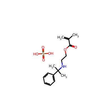 C=C(C)C(=O)OCCNC(C)(C)c1ccccc1.O=S(=O)(O)O